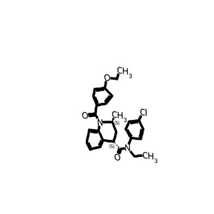 CCOc1ccc(C(=O)N2c3ccccc3[C@@H](C(=O)N(CC)c3ccc(Cl)cc3)C[C@@H]2C)cc1